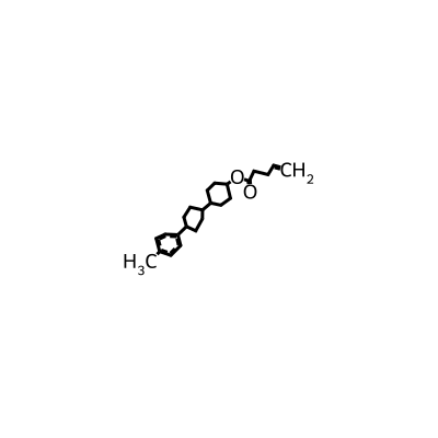 C=CCCC(=O)OC1CCC(C2CCC(c3ccc(C)cc3)CC2)CC1